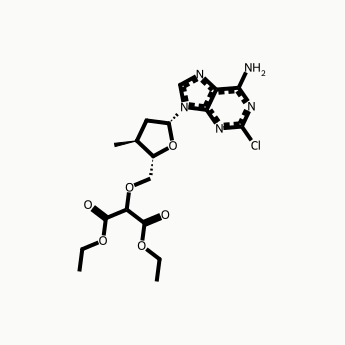 CCOC(=O)C(OC[C@H]1O[C@@H](n2cnc3c(N)nc(Cl)nc32)C[C@@H]1C)C(=O)OCC